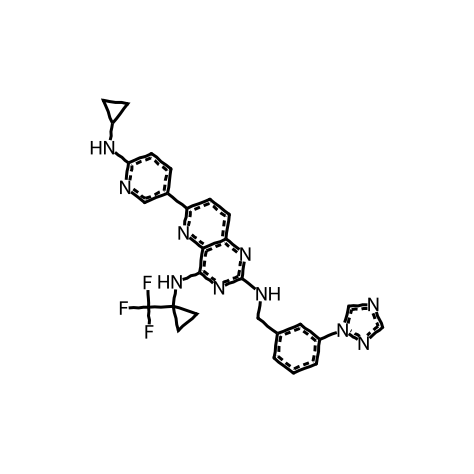 FC(F)(F)C1(Nc2nc(NCc3cccc(-n4cncn4)c3)nc3ccc(-c4ccc(NC5CC5)nc4)nc23)CC1